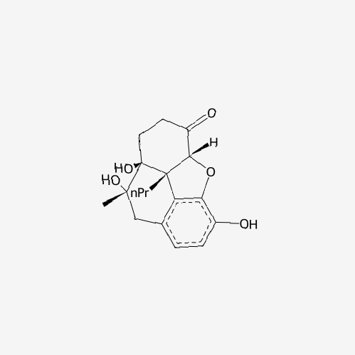 CCC[C@]12c3c4ccc(O)c3O[C@H]1C(=O)CC[C@@]2(O)[C@@](C)(O)C4